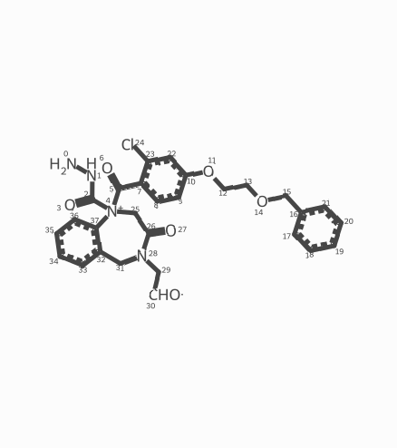 NNC(=O)[N+]1(C(=O)c2ccc(OCCOCc3ccccc3)cc2Cl)CC(=O)N(C[C]=O)Cc2ccccc21